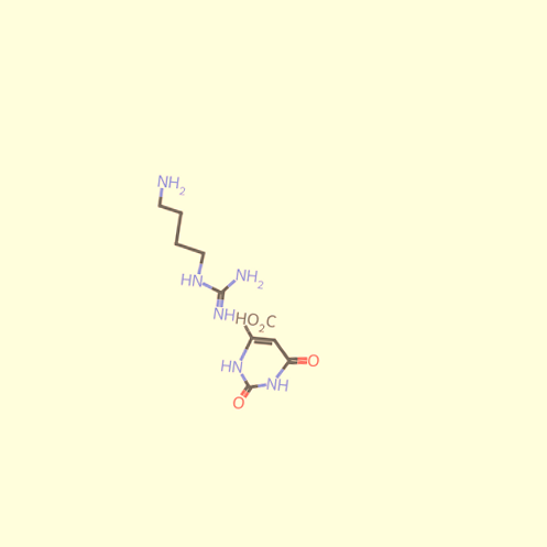 N=C(N)NCCCCN.O=C(O)c1cc(=O)[nH]c(=O)[nH]1